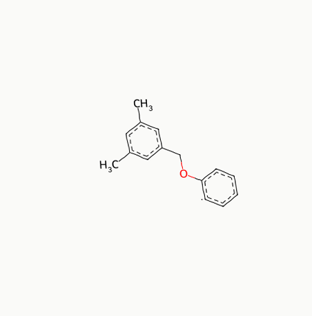 Cc1cc(C)cc(COc2[c]cccc2)c1